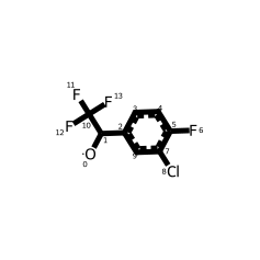 [O]C(c1ccc(F)c(Cl)c1)C(F)(F)F